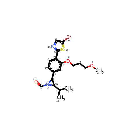 COCCCOc1cc(C2C(C(C)C)N2C=O)ccc1-c1ncc(Br)s1